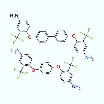 Nc1ccc(Oc2ccc(-c3ccc(Oc4ccc(N)cc4C(F)(F)F)cc3)cc2)c(C(F)(F)F)c1.Nc1ccc(Oc2ccc(Oc3ccc(N)cc3C(F)(F)F)cc2)c(C(F)(F)F)c1